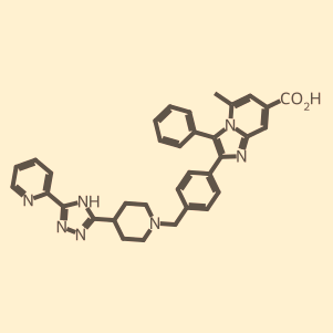 Cc1cc(C(=O)O)cc2nc(-c3ccc(CN4CCC(c5nnc(-c6ccccn6)[nH]5)CC4)cc3)c(-c3ccccc3)n12